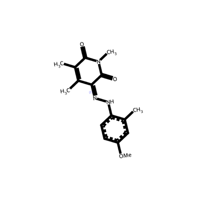 COc1ccc(N/N=C2\C(=O)N(C)C(=O)C(C)=C2C)c(C)c1